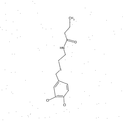 CCCC(=O)NCCSCc1ccc(Cl)c(Cl)c1